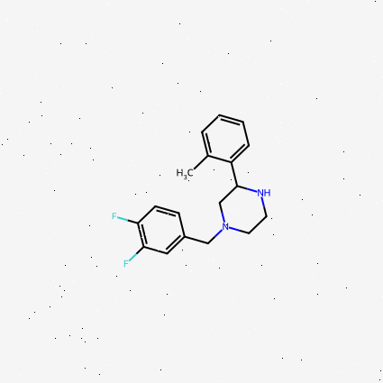 Cc1ccccc1C1CN(Cc2ccc(F)c(F)c2)CCN1